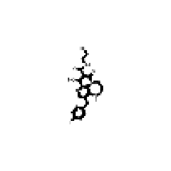 O=C(NCCO)c1c(O)c2ncc(Cc3ccc(F)cc3)c3c2n(c1=O)CCCN3